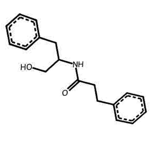 O=C(CCc1ccccc1)NC(CO)Cc1ccccc1